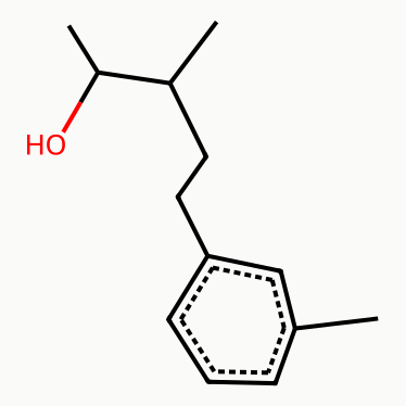 Cc1cccc(CCC(C)C(C)O)c1